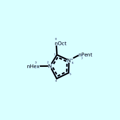 CCCCCCCCc1n(CCCCCC)cc[n+]1CCCCC